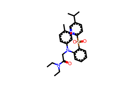 CCN(CC)C(=O)CN(c1ccc(C)cc1)c1ccccc1S(=O)(=O)c1ccc(C(C)C)cn1